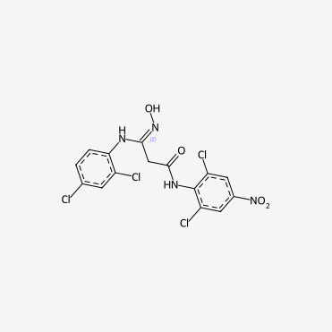 O=C(C/C(=N/O)Nc1ccc(Cl)cc1Cl)Nc1c(Cl)cc([N+](=O)[O-])cc1Cl